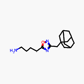 NCCC[CH]c1nc(CC23CC4CC(CC(C4)C2)C3)no1